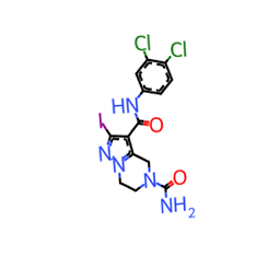 NC(=O)N1CCn2nc(I)c(C(=O)Nc3ccc(Cl)c(Cl)c3)c2C1